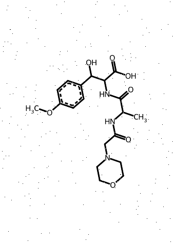 COc1ccc(C(O)C(NC(=O)C(C)NC(=O)CN2CCOCC2)C(=O)O)cc1